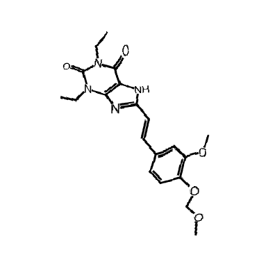 CCn1c(=O)c2[nH]c(C=Cc3ccc(OCOC)c(OC)c3)nc2n(CC)c1=O